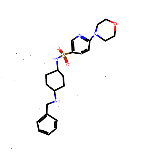 O=S(=O)(NC1CCC(NCc2ccccc2)CC1)c1ccc(N2CCOCC2)nc1